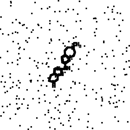 CN1CCc2ccc(Nc3ncc4c(n3)CNCC4)cc2CC1